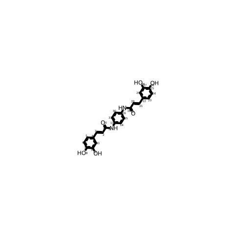 O=C(C=Cc1ccc(O)c(O)c1)Nc1ccc(NC(=O)/C=C/c2ccc(O)c(O)c2)cc1